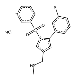 CNCc1cc(-c2cccc(F)c2)n(S(=O)(=O)c2cccnc2)c1.Cl